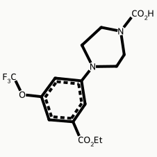 CCOC(=O)c1cc(OC(F)(F)F)cc(N2CCN(C(=O)O)CC2)c1